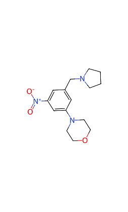 O=[N+]([O-])c1cc(CN2CCCC2)cc(N2CCOCC2)c1